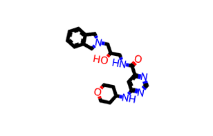 O=C(NCC(O)CN1Cc2ccccc2C1)c1cc(NC2CCOCC2)ncn1